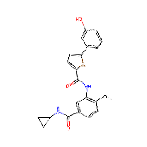 Cc1ccc(C(=O)NC2CC2)cc1NC(=O)c1ccc(-c2cccc(O)c2)s1